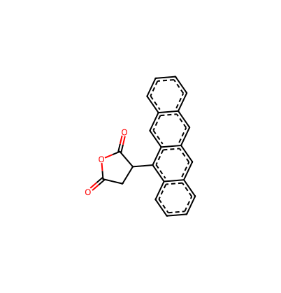 O=C1CC(c2c3ccccc3cc3cc4ccccc4cc23)C(=O)O1